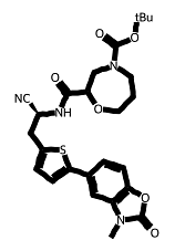 Cn1c(=O)oc2ccc(-c3ccc(C[C@@H](C#N)NC(=O)C4CN(C(=O)OC(C)(C)C)CCCO4)s3)cc21